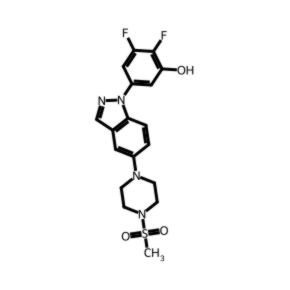 CS(=O)(=O)N1CCN(c2ccc3c(cnn3-c3cc(O)c(F)c(F)c3)c2)CC1